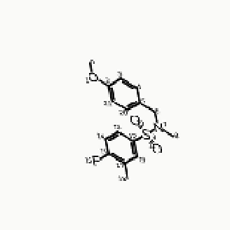 COc1ccc(CN(C)S(=O)(=O)c2ccc(F)c(C)c2)cc1